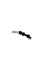 CCCCCCCCC[C@H]1CC[C@H](c2ccc(C#Cc3ccc(SC(F)F)cc3)cc2)CC1